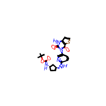 CC(C)(C)OC(=O)N[C@H]1CC[C@H](Nc2ccc(-n3c(=O)[nH]c4ccsc4c3=O)cn2)C1